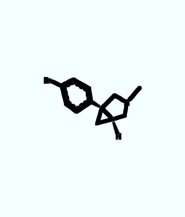 CN1C[C@H]2C[C@@]2(c2ccc(Br)cc2)C1